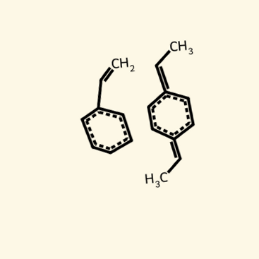 C=Cc1ccccc1.CC=c1ccc(=CC)cc1